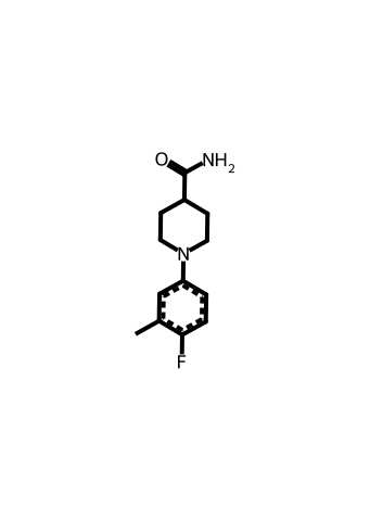 Cc1cc(N2CCC(C(N)=O)CC2)ccc1F